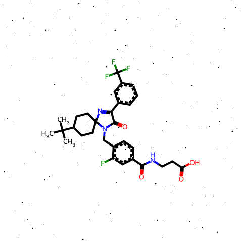 CC(C)(C)C1CCC2(CC1)N=C(c1cccc(C(F)(F)F)c1)C(=O)N2Cc1ccc(C(=O)NCCC(=O)O)cc1F